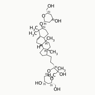 CC(C)(O)[C@@H](CCCC1CCC2[C@@H]3CC=C4C(CC[C@H](O[C@H]5C[C@@H](O)C[C@@H](CO)O5)C4(C)C)[C@]3(C)CC[C@]12C)O[C@H]1C[C@@H](O)C[C@@H](CO)O1